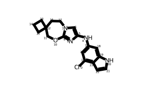 Clc1cc(Nc2cn3c(n2)OCC2(CCC2)CC3)cc2[nH]ccc12